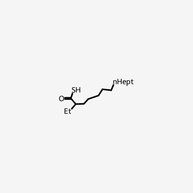 CCCCCCCCCCCCC(CC)C(=O)S